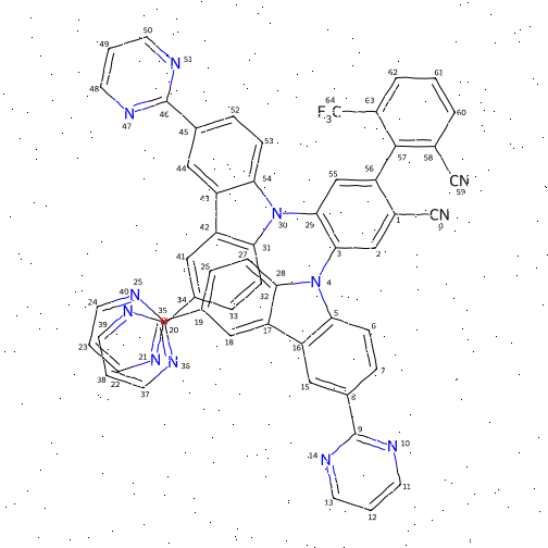 N#Cc1cc(-n2c3ccc(-c4ncccn4)cc3c3cc(-c4ncccn4)ccc32)c(-n2c3ccc(-c4ncccn4)cc3c3cc(-c4ncccn4)ccc32)cc1-c1c(C#N)cccc1C(F)(F)F